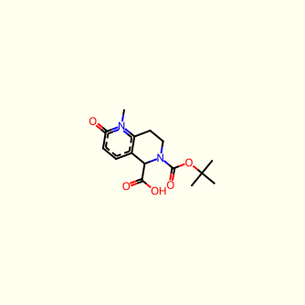 Cn1c2c(ccc1=O)C(C(=O)O)N(C(=O)OC(C)(C)C)CC2